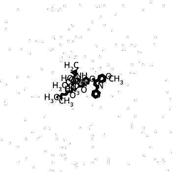 C=C[C@@H]1C[C@]1(NC(=O)[C@@H]1CC(Oc2cc(-c3ccccc3)nc3cc(OC)ccc23)CN1C(=O)[C@H](CNC(=O)/C=C/CN(C)C)NC(=O)OC(C)(C)C)C(=O)O